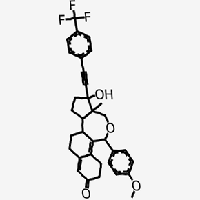 COc1ccc(C2OCC3(C)C(CCC3(O)C#Cc3ccc(C(F)(F)F)cc3)C3CCC4=CC(=O)CCC4=C23)cc1